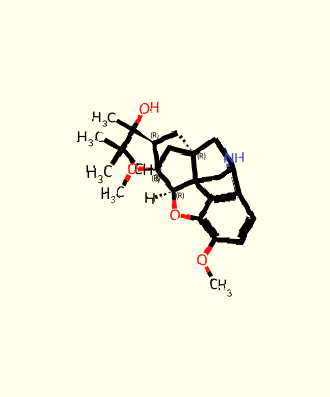 COc1ccc2c3c1O[C@@H]1C34CCNC(C2)[C@@]42C[C@H](C(C)(O)C(C)(C)C)[C@]1(OC)C2